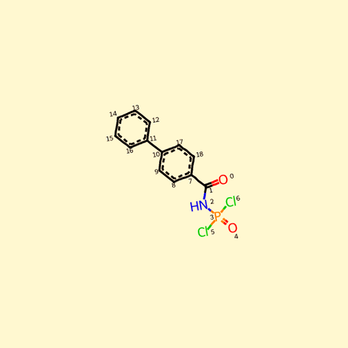 O=C(NP(=O)(Cl)Cl)c1ccc(-c2ccccc2)cc1